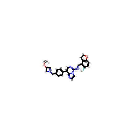 COC1CN(Cc2ccc(-c3cnc(NCc4c(F)ccc5c4CCO5)n4ccnc34)cc2)C1